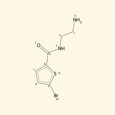 NCCNC(=O)c1ccc(Br)s1